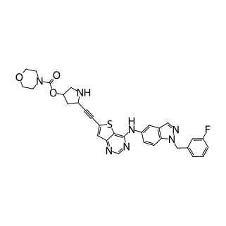 O=C(OC1CNC(C#Cc2cc3ncnc(Nc4ccc5c(cnn5Cc5cccc(F)c5)c4)c3s2)C1)N1CCOCC1